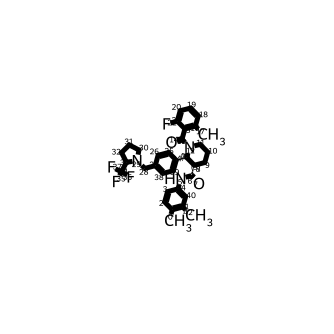 Cc1ccc(NC(=O)[C@H]2CCCN(C(=O)c3c(C)cccc3F)[C@H]2c2ccc(CN3CCCC3C(F)(F)F)cc2)cc1C